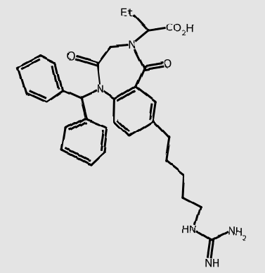 CCC(C(=O)O)N1CC(=O)N(C(c2ccccc2)c2ccccc2)c2ccc(CCCCCNC(=N)N)cc2C1=O